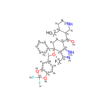 C[C@H](OC1(c2ccccc2)CCC(C(=O)C2CNCCC2C(=O)O)c2[nH]nc(C(F)(F)F)c21)c1ccc2c(c1)OC(F)(F)O2